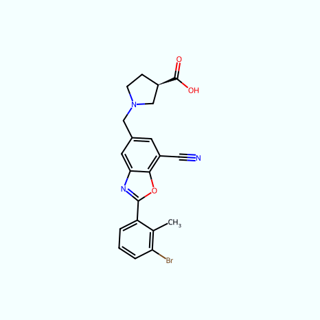 Cc1c(Br)cccc1-c1nc2cc(CN3CC[C@@H](C(=O)O)C3)cc(C#N)c2o1